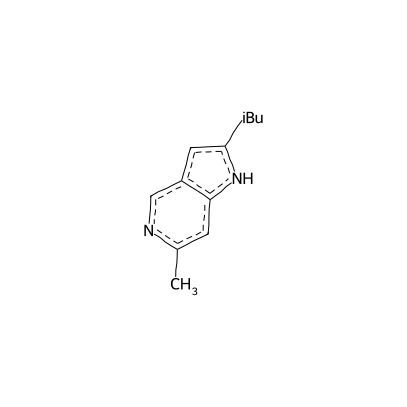 CCC(C)c1cc2cnc(C)cc2[nH]1